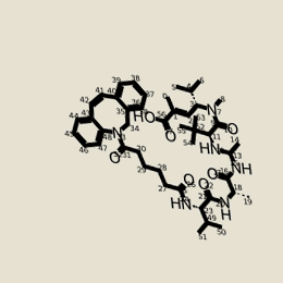 C/C(=C\[C@H](C(C)C)N(C)C(=O)[C@@H](NC(C)NC(=O)[C@H](C)NC(=O)[C@@H](NC(=O)CCCCC(=O)N1Cc2ccccc2/C=C\c2ccccc21)C(C)C)C(C)(C)C)C(=O)O